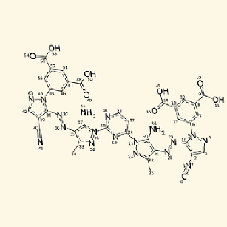 [C-]#[N+]c1cnn(-c2cc(C(=O)O)cc(C(=O)O)c2)c1N=Nc1c(C)nn(-c2ccnc(-n3nc(C)c(N=Nc4c(C#N)cnn4-c4cc(C(=O)O)cc(C(=O)O)c4)c3N)n2)c1N